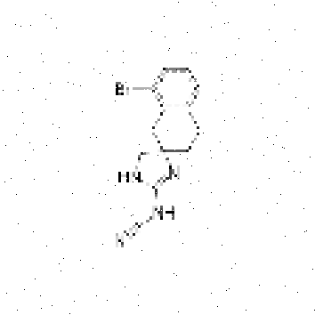 N#CNC1=NC2(CCc3cccc(Br)c3C2)CN1